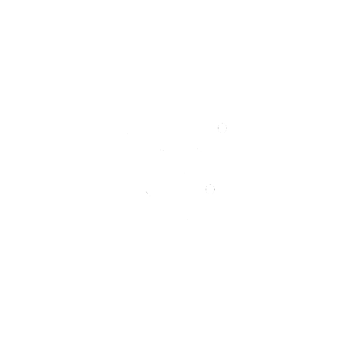 CC1CC23COC(=O)C1(C2)C3